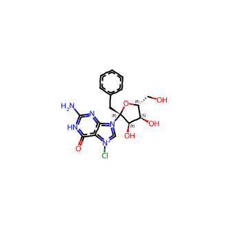 Nc1nc2c(c(=O)[nH]1)[n+](Cl)cn2[C@]1(Cc2ccccc2)O[C@H](CO)[C@@H](O)[C@H]1O